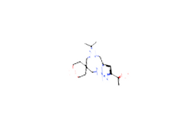 CC(=O)c1cc2n(n1)CC1(CCOCC1)CN(C(C)C)C2